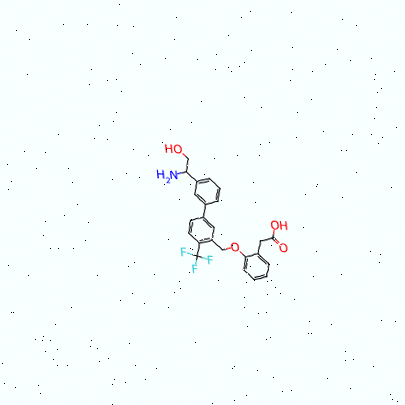 NC(CO)c1cccc(-c2ccc(C(F)(F)F)c(COc3ccccc3CC(=O)O)c2)c1